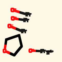 C1CCOC1.CC(C)[O-].CC(C)[O-].CC(C)[O-].CC(C)[O-].[Ti+4]